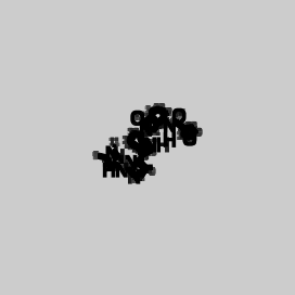 Cc1cnc(Nc2cc(C)n(C)n2)nc1-c1c[nH]c2c(N3Cc4c(NC(=O)c5ccoc5)cccc4C3=O)cccc12